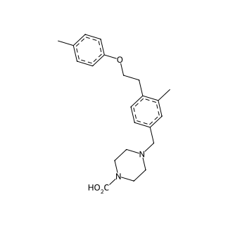 Cc1ccc(OCCc2ccc(CN3CCN(C(=O)O)CC3)cc2C)cc1